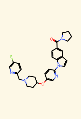 O=C(c1ccc2c(ccn2-c2ccc(OC3CCN(Cc4ccc(F)cn4)CC3)cn2)c1)N1CCCC1